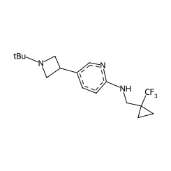 CC(C)(C)N1CC(c2ccc(NCC3(C(F)(F)F)CC3)nc2)C1